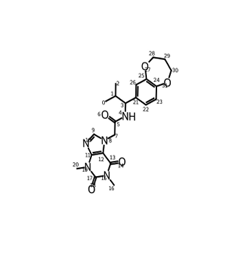 CC(C)C(NC(=O)Cn1cnc2c1c(=O)n(C)c(=O)n2C)c1ccc2c(c1)OCCCO2